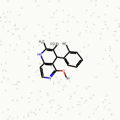 CCOC(=O)C1=C(C)Nc2ccnc(OC(C)C)c2C1c1ccccc1C#N